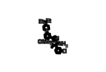 CCN(CC)C1CCN(c2ccc(OC)c(-c3cnn4c(N)c(-c5cccc(Cl)c5)c(C)nc34)c2)CC1